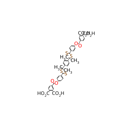 CC(C)(SC(=S)c1ccc(OC(=O)c2ccc(C(=O)O)c(C(=O)O)c2)cc1)c1ccc(C(C)(C)SC(=S)c2ccc(OC(=O)c3ccc(C(=O)O)c(C(=O)O)c3)cc2)cc1